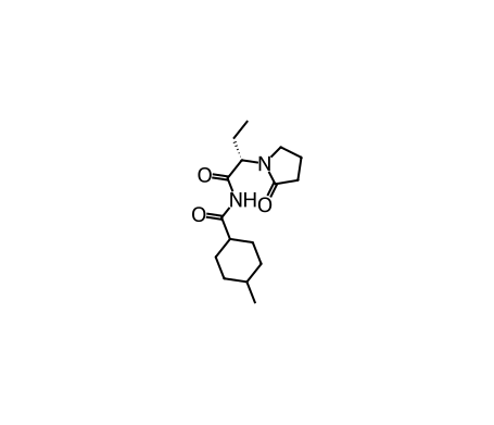 CC[C@@H](C(=O)NC(=O)C1CCC(C)CC1)N1CCCC1=O